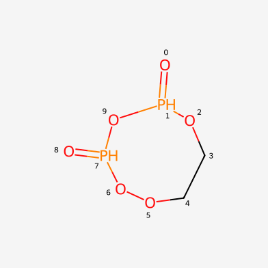 O=[PH]1OCCOO[PH](=O)O1